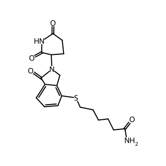 NC(=O)CCCCCSc1cccc2c1CN(C1CCC(=O)NC1=O)C2=O